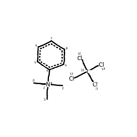 C[N+](C)(C)c1ccccc1.Cl[I-](Cl)(Cl)Cl